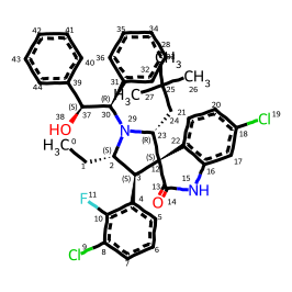 CC[C@H]1[C@H](c2cccc(Cl)c2F)[C@@]2(C(=O)Nc3cc(Cl)ccc32)[C@@H](CC(C)(C)C)N1[C@H](c1ccccc1)[C@@H](O)c1ccccc1